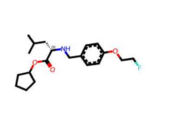 CC(C)C[C@H](NCc1ccc(OCCF)cc1)C(=O)OC1CCCC1